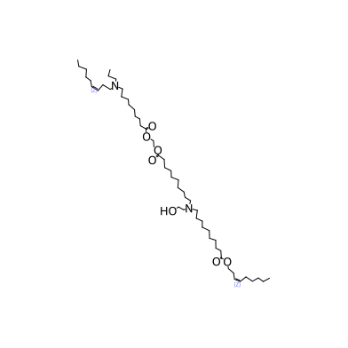 CCCCC/C=C\CCOC(=O)CCCCCCCCCN(CCO)CCCCCCCCCC(=O)OCCOC(=O)CCCCCCCCN(CCC)CC/C=C\CCCCC